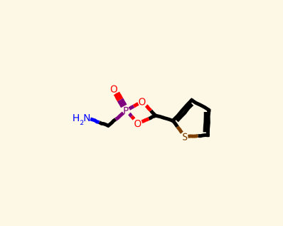 NCP1(=O)OC(c2cccs2)O1